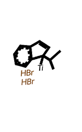 Br.Br.CC(C)[C]1([Ti])C=Cc2ccccc21